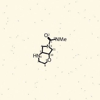 CNC(=O)N1CC2NCCOC2C1